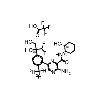 O=C(O)C(F)(F)F.[2H]C([2H])([2H])c1ccc([C@](O)(CO)C(F)F)cc1-c1cnc(N)c(C(=O)N[C@@H]2CCCC[C@H]2O)n1